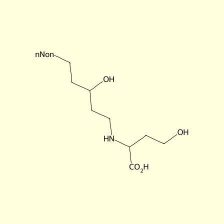 CCCCCCCCCCCC(O)CCNC(CCO)C(=O)O